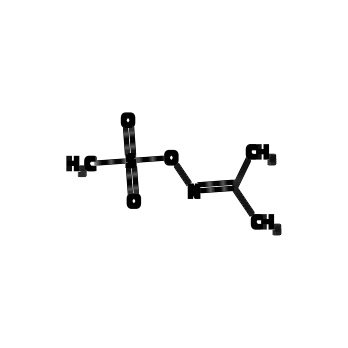 CC(C)=NOS(C)(=O)=O